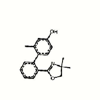 Cc1cc(O)ccc1-c1ccccc1C1=NC(C)(C)CO1